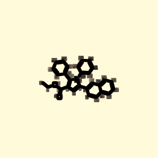 CCOC(=O)c1cc(-c2ccc3ccccc3c2)n(-c2ccccc2)c1-c1ccccc1